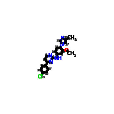 COc1cc(Nc2nccc(-c3ccc(Cl)cc3)n2)ccc1-n1cnc(C)c1